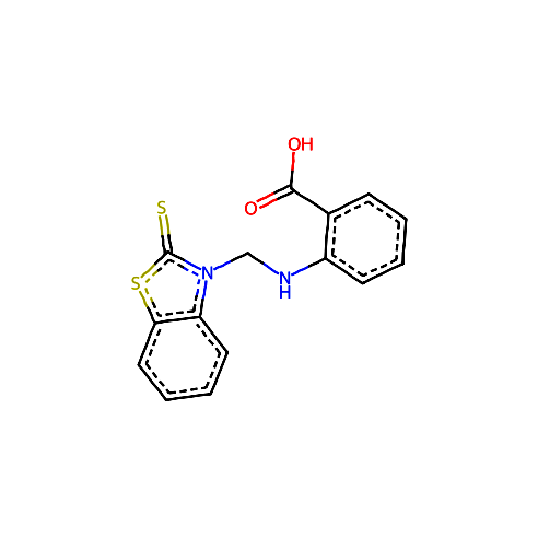 O=C(O)c1ccccc1NCn1c(=S)sc2ccccc21